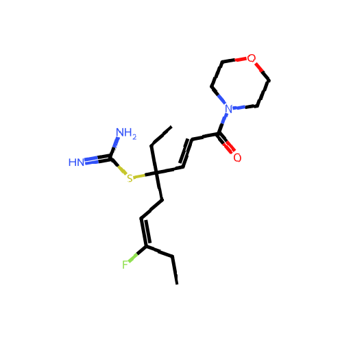 CC/C(F)=C\CC(/C=C/C(=O)N1CCOCC1)(CC)SC(=N)N